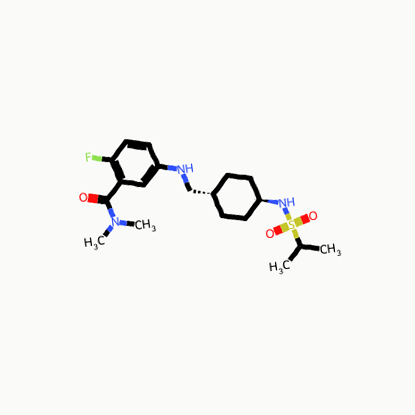 CC(C)S(=O)(=O)N[C@H]1CC[C@H](CNc2ccc(F)c(C(=O)N(C)C)c2)CC1